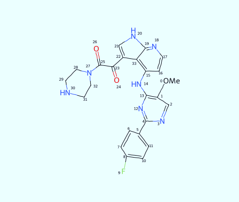 COc1cnc(-c2ccc(F)cc2)nc1Nc1ccnc2[nH]cc(C(=O)C(=O)N3CCNCC3)c12